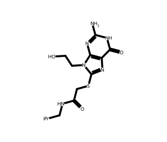 CC(C)CNC(=O)CSc1nc2c(=O)[nH]c(N)nc2n1CCO